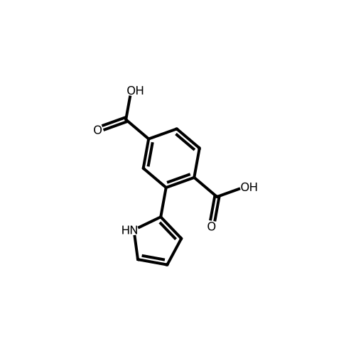 O=C(O)c1ccc(C(=O)O)c(-c2ccc[nH]2)c1